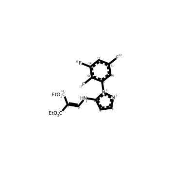 CCOC(=O)C(=CNc1ccnn1-c1cc(F)cc(F)c1F)C(=O)OCC